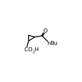 CCCCC(=O)C1CC1C(=O)O